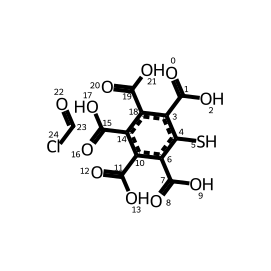 O=C(O)c1c(S)c(C(=O)O)c(C(=O)O)c(C(=O)O)c1C(=O)O.O=CCl